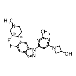 Cc1nc(N2CC(O)C2)cc(-n2ncc3cc(F)c([C@H]4CCN(C)C[C@H]4F)cc32)n1